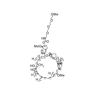 COCCOCCOCCOCCNC(=O)O[C@@H]1CC[C@@H](C[C@@H](N)[C@@H]2CC(=O)[C@H](C)/C=C(\C)[C@@H](O)[C@@H](O)C(=O)[C@H](C)C[C@H](C)/C=C/C=C/C=C(\C)[C@@H](OC)C[C@@H]3CC[C@@H](C)[C@@](O)(O3)C(=O)C(=O)N3CCCC[C@H]3C(=O)O2)C[C@H]1OC